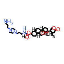 C[C@]1(OC(=O)NCCCN2CCN(CCCN)CC2)CC[C@@]2(C)[C@H](CC[C@@H]3[C@@H]2CC[C@]2(C)[C@](C)(c4ccc(=O)oc4)CC[C@]32O)C1